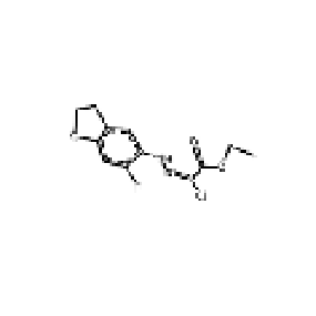 CCOC(=O)/C(Cl)=N\Nc1cc2c(cc1F)OCC2